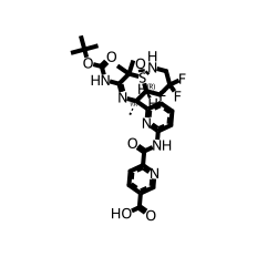 CC(C)(C)OC(=O)NC1=N[C@](C)(c2nc(NC(=O)c3ccc(C(=O)O)cn3)ccc2F)[C@H]2CC(F)(F)CN[SH]2(=O)C1(C)C